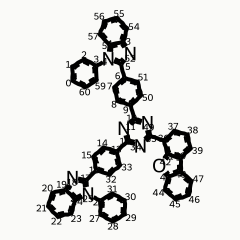 c1ccc(-n2c(-c3ccc(-c4nc(-c5ccc(-c6nc7ccccc7n6-c6ccccc6)cc5)nc(-c5cccc6c5oc5ccccc56)n4)cc3)nc3ccccc32)cc1